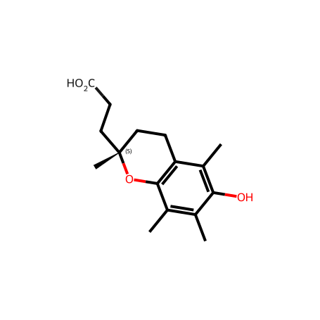 Cc1c(C)c2c(c(C)c1O)CC[C@@](C)(CCC(=O)O)O2